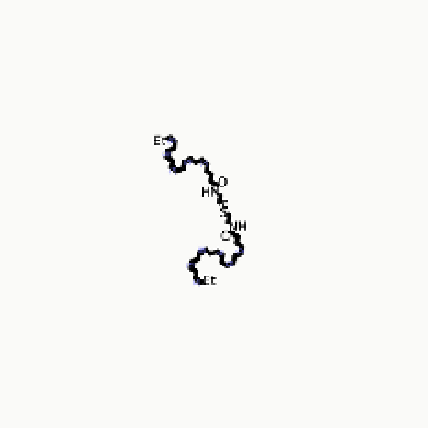 CC/C=C\C/C=C\C/C=C\C/C=C\C/C=C\C/C=C\CCC(=O)NCCSSCCNC(=O)CCC/C=C\C/C=C\C/C=C\C/C=C\C/C=C\CC